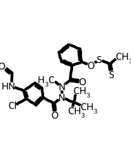 CC(=S)SOc1ccccc1C(=O)N(C)N(C(=O)c1ccc(NC=O)c(Cl)c1)C(C)(C)C